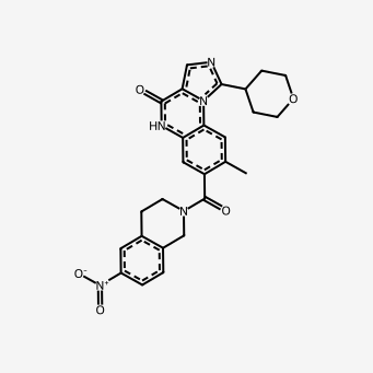 Cc1cc2c(cc1C(=O)N1CCc3cc([N+](=O)[O-])ccc3C1)[nH]c(=O)c1cnc(C3CCOCC3)n12